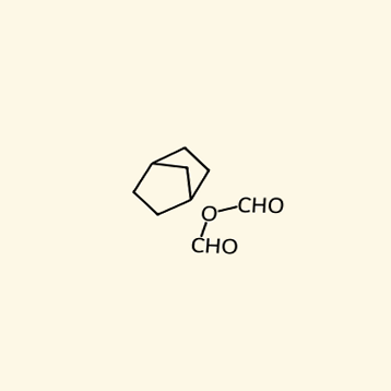 C1CC2CCC1C2.O=COC=O